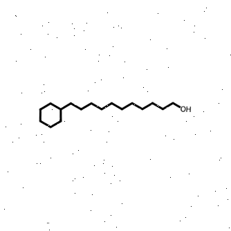 OCCCCCCCCCCCC1CCCCC1